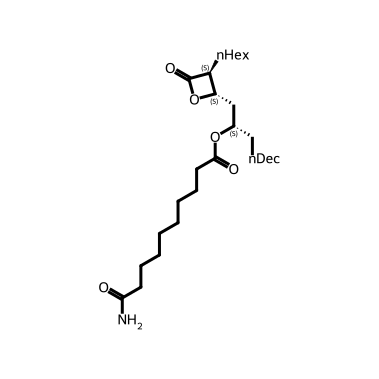 CCCCCCCCCCC[C@@H](C[C@@H]1OC(=O)[C@H]1CCCCCC)OC(=O)CCCCCCCCC(N)=O